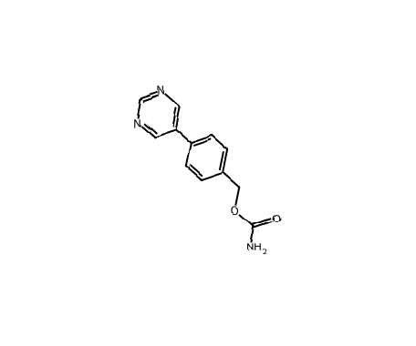 NC(=O)OCc1ccc(-c2cncnc2)cc1